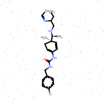 C/C=N\C(CC)CN[C@@H](C)[C@@]1(C)C=CC(NC(=O)NCc2ccc(Cl)cc2)=CC1